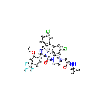 CCOc1cc(C(F)(F)F)ccc1C1=NC(c2ccc(Cl)cc2)C(c2ccc(Cl)cc2)N1C(=O)N1CCN(CC(=O)NC2CC2)CC1